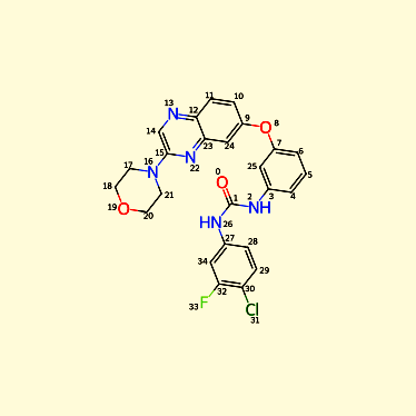 O=C(Nc1cccc(Oc2ccc3ncc(N4CCOCC4)nc3c2)c1)Nc1ccc(Cl)c(F)c1